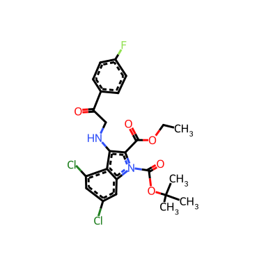 CCOC(=O)c1c(NCC(=O)c2ccc(F)cc2)c2c(Cl)cc(Cl)cc2n1C(=O)OC(C)(C)C